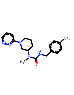 Cc1ccc(CNC(=O)N(C)[C@@H]2CCCN(c3cccnn3)C2)cc1